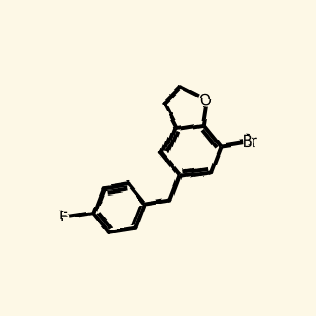 Fc1ccc(Cc2cc(Br)c3c(c2)CCO3)cc1